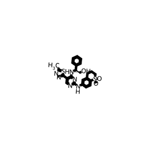 Cc1nnc(-c2cnc(Nc3ccc4c(c3)CCCS4(=O)=O)nc2N[C@H](CO)c2ccccc2)s1